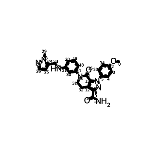 COc1ccc(-n2nc(C(N)=O)c3c2C(=O)N(c2cccc(NCc4ccnn4C)c2)CC3)cc1